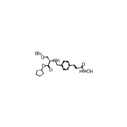 CC(C)(C)OC[C@@H](NCc1ccc(/C=C/C(=O)NO)cc1)C(=O)OC1CCCC1